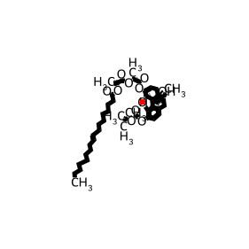 CCCCCCCCC=CCCCCCCCC(=O)O[C@@H](C)C(=O)O[C@@H](C)C(=O)OC1=CC[C@]2(O)C3Cc4ccc(OC(=O)OC(C)(C)C)c5c4[C@@]2(CCN3C)[C@H]1O5